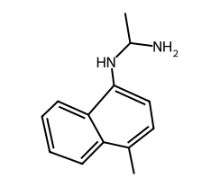 Cc1ccc(NC(C)N)c2ccccc12